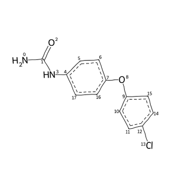 NC(=O)Nc1ccc(Oc2ccc(Cl)cc2)cc1